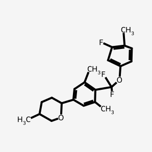 Cc1ccc(OC(F)(F)c2c(C)cc(C3CCC(C)CO3)cc2C)cc1F